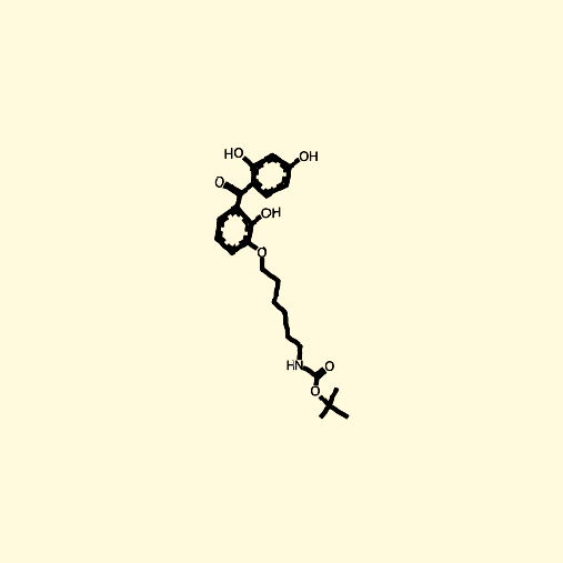 CC(C)(C)OC(=O)NCCCCCCOc1cccc(C(=O)c2ccc(O)cc2O)c1O